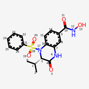 CC(C)[C@H]1C(=O)Nc2cc(C(=O)NO)ccc2N1S(=O)(=O)c1ccccc1